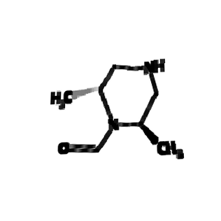 C[C@@H]1CNC[C@@H](C)N1C=O